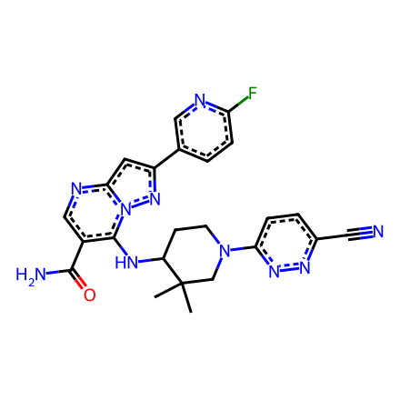 CC1(C)CN(c2ccc(C#N)nn2)CCC1Nc1c(C(N)=O)cnc2cc(-c3ccc(F)nc3)nn12